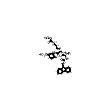 CC(C)[C@H](NC(=O)OCC1c2ccccc2-c2ccccc21)C(=O)N[C@@H](CCCCNC(=O)OC(C)(C)C)C(=O)Nc1cc(C(=O)O)ccc1F